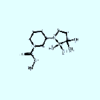 CC(C)(C)OC(=O)N1CCCC(N2CCC(C)(C)S2(O)O)C1